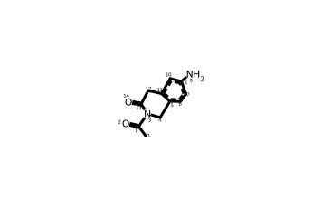 CC(=O)N1Cc2ccc(N)cc2CC1=O